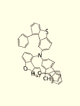 CC1(C)c2ccccc2-c2ccc(N(c3ccc4sc5cccc(-c6ccccc6)c5c4c3)c3cccc4oc5ccc(-c6ccccc6)cc5c34)cc21